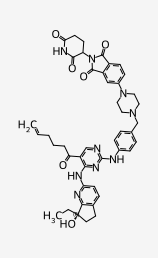 C=CCCCC(=O)c1cnc(Nc2ccc(CN3CCN(c4ccc5c(c4)C(=O)N(C4CCC(=O)NC4=O)C5=O)CC3)cc2)nc1Nc1ccc2c(n1)[C@@](O)(CC)CC2